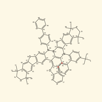 CC(C)(C)c1ccc(N2c3cc4c(oc5ccccc54)c4c3B(c3oc5cc6c(cc5c32)C(C)(C)CCC6(C)C)N(c2ccc(-c3ccccc3)cc2)c2cc3sc5cc6c(cc5c3cc2-4)C(C)(C)CCC6(C)C)c(-c2ccccc2)c1